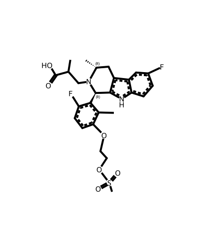 Cc1c(OCCOS(C)(=O)=O)ccc(F)c1[C@@H]1c2[nH]c3ccc(F)cc3c2C[C@@H](C)N1CC(C)C(=O)O